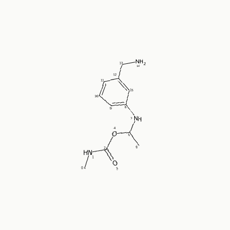 CNC(=O)OC(C)Nc1cccc(CN)c1